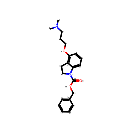 CN(C)CCCOc1cccc2c1CCN2C(=O)OCc1ccccc1